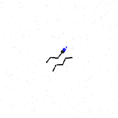 CCCCC.[CH2]CCC#N